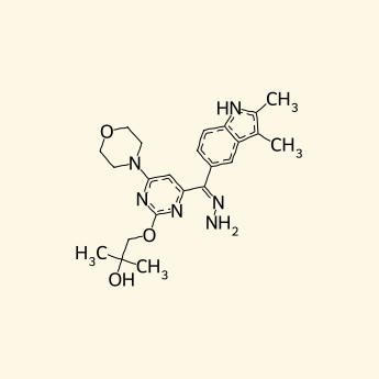 Cc1[nH]c2ccc(C(=NN)c3cc(N4CCOCC4)nc(OCC(C)(C)O)n3)cc2c1C